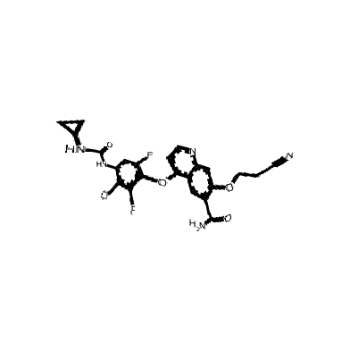 N#CCCOc1cc2nccc(Oc3c(F)cc(NC(=O)NC4CC4)c(Cl)c3F)c2cc1C(N)=O